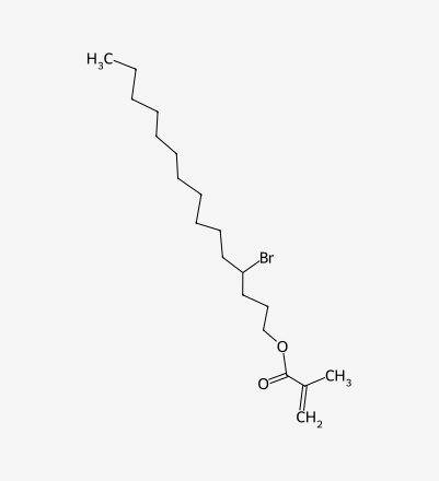 C=C(C)C(=O)OCCCC(Br)CCCCCCCCCCC